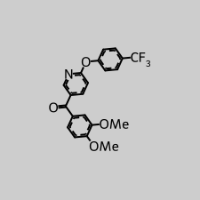 COc1ccc(C(=O)c2ccc(Oc3ccc(C(F)(F)F)cc3)nc2)cc1OC